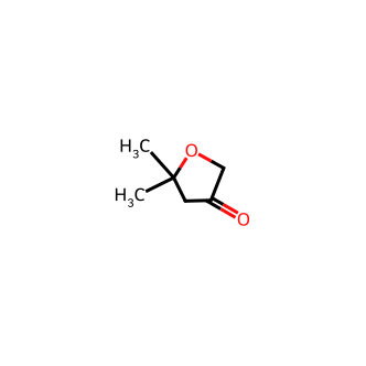 CC1(C)CC(=O)CO1